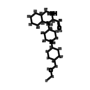 CCOCC1CCC(N2CCC(N3C(C=O)NCC4CCCCC43)CC2)CC1